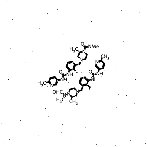 CNC(=O)N1CCN(Cc2cccc(NC(=O)Nc3ccc(C)nc3)c2F)C[C@@H]1C.Cc1ccc(NC(=O)Nc2cccc(CN3CCN(N(C)C=O)[C@H](C)C3)c2F)cn1